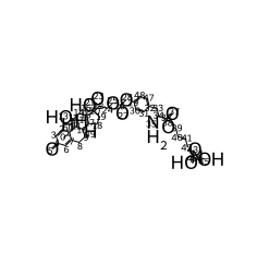 C[C@]12C=CC(=O)C=C1CC[C@@H]1[C@@H]2[C@@H](O)C[C@@]2(C)[C@H]1CC[C@]2(O)C(=O)COC(=O)Oc1ccc(C[C@H](N)C(=O)OCCCCON(O)O)cc1